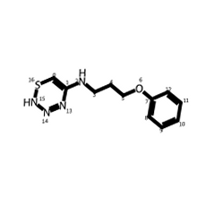 C1=C(NCCCOc2ccccc2)N=NNS1